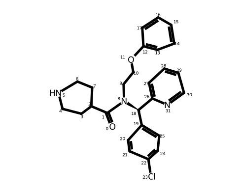 O=C(C1CCNCC1)N(CCOc1ccccc1)[C@H](c1ccc(Cl)cc1)c1ccccn1